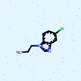 N#CCCn1cnc2cc(Br)ccc21